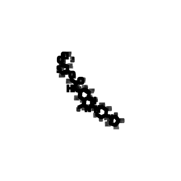 Cc1nc(N2CCC(N3CCCC3)CC2)nc2ccc(NC(=O)COc3csc(OC(F)(F)F)c3)cc12